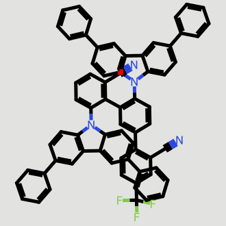 N#Cc1cc(C(F)(F)F)ccc1-c1ccc(-n2c3ccc(-c4ccccc4)cc3c3cc(-c4ccccc4)ccc32)c(-c2c(C#N)cccc2-n2c3ccc(-c4ccccc4)cc3c3cc(-c4ccccc4)ccc32)c1